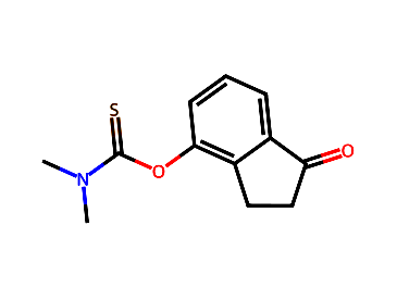 CN(C)C(=S)Oc1cccc2c1CCC2=O